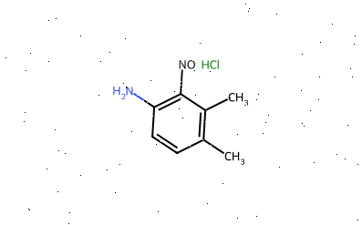 Cc1ccc(N)c(N=O)c1C.Cl